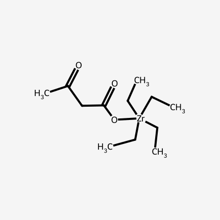 C[CH2][Zr]([CH2]C)([CH2]C)([CH2]C)[O]C(=O)CC(C)=O